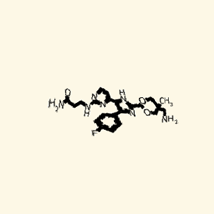 CC1(CN)COC(c2nc(-c3ccc(F)cc3)c(-c3ccnc(NCCC(N)=O)n3)[nH]2)OC1